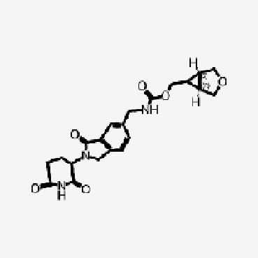 O=C1CCC(N2Cc3ccc(CNC(=O)OCC4[C@H]5COC[C@@H]45)cc3C2=O)C(=O)N1